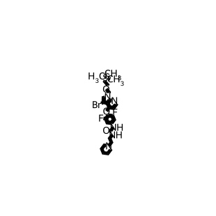 C[Si](C)(C)CCOCn1cc(Br)c2c(Oc3c(F)cc(NC(=O)NCCN4CCCCC4)cc3F)ccnc21